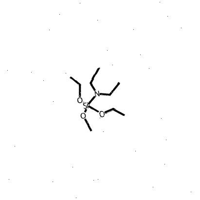 CCO[Si](OC)(OCC)N(CC)CC